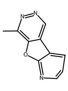 Cc1nncc2c1oc1ncccc12